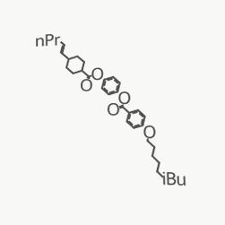 CCCC=CC1CCC(C(=O)Oc2ccc(OC(=O)c3ccc(OCCCCCC(C)CC)cc3)cc2)CC1